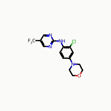 FC(F)(F)c1cnc(Nc2ccc(N3CCOCC3)cc2Cl)nc1